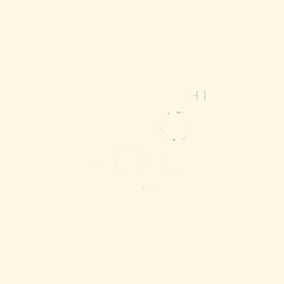 O=C(c1ccc(O)cc1)c1[c]cc(O)cc1O